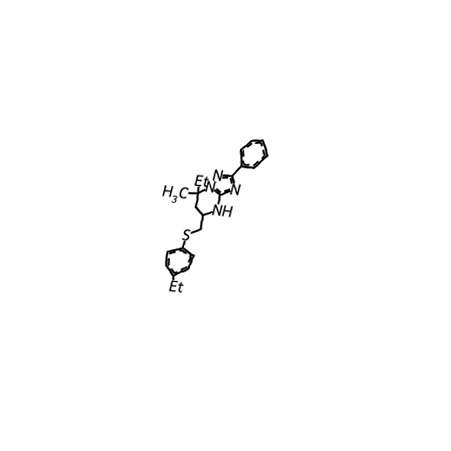 CCc1ccc(SCC2CC(C)(CC)n3nc(-c4ccccc4)nc3N2)cc1